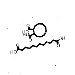 O=C(O)C1CCCCCCCCC1C(=O)O.O=C(O)CCCCCCCCCCC(=O)O